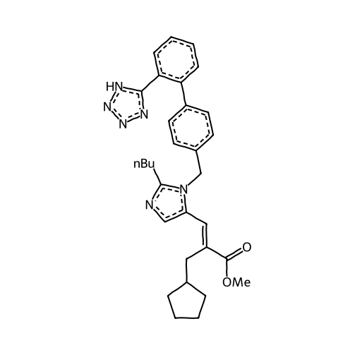 CCCCc1ncc(/C=C(\CC2CCCC2)C(=O)OC)n1Cc1ccc(-c2ccccc2-c2nnn[nH]2)cc1